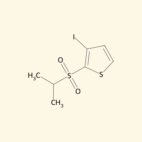 CC(C)S(=O)(=O)c1sccc1I